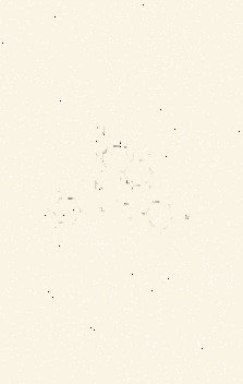 COc1ccc(-c2ccc3nc(N)nc(N(Cc4ccccc4)C4OCCO4)c3n2)cc1OC